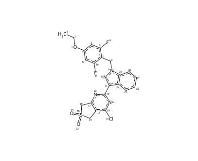 CCOc1cc(F)c(Cn2nc(-c3nc(Cl)c4c(n3)CS(=O)(=O)C4)c3ccccc32)c(F)c1